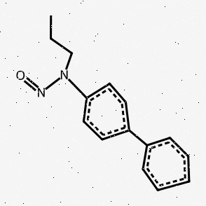 CCCN(N=O)c1ccc(-c2ccccc2)cc1